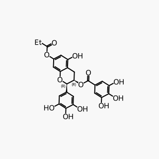 CCC(=O)Oc1cc(O)c2c(c1)O[C@H](c1cc(O)c(O)c(O)c1)[C@H](OC(=O)c1cc(O)c(O)c(O)c1)C2